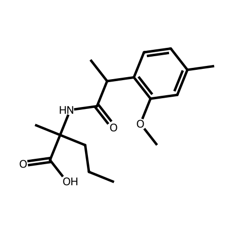 CCCC(C)(NC(=O)C(C)c1ccc(C)cc1OC)C(=O)O